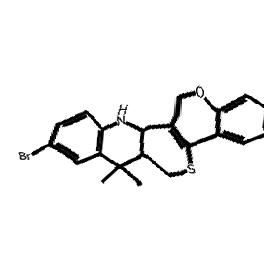 CC1(C)c2cc(Br)ccc2NC2C3=C(SCC21)c1ccccc1OC3